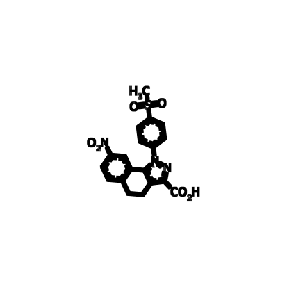 CS(=O)(=O)c1ccc(-n2nc(C(=O)O)c3c2-c2cc([N+](=O)[O-])ccc2CC3)cc1